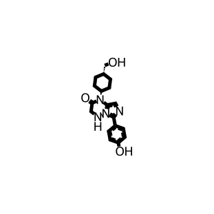 O=C1CNn2c(cnc2-c2ccc(O)cc2)N1[C@H]1CC[C@@H](CO)CC1